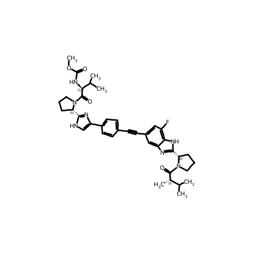 COC(=O)N[C@H](C(=O)N1CCC[C@H]1c1nc(-c2ccc(C#Cc3cc(F)c4[nH]c([C@@H]5CCCN5C(=O)[C@@H](C)C(C)C)nc4c3)cc2)c[nH]1)C(C)C